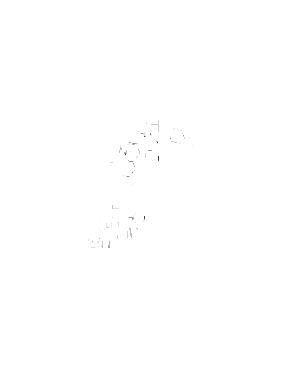 CC(C)C(NC(=O)OC(C)(C)C)C(=O)OCCCc1cc(F)c2ncc(C(=O)NCc3ccc(Cl)cc3)c(O)c2c1